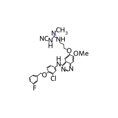 C/N=C(/NC#N)NCCCOc1cc2c(Nc3ccc(OCc4cccc(F)c4)c(Cl)c3)ncnc2cc1OC